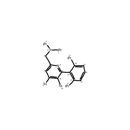 [2H]c1cc(CP(C(C)C)C(C)C)nc(-c2c(C(C)C)cccc2C(C)C)c1[2H]